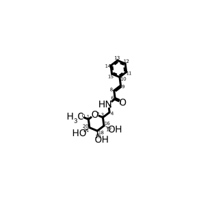 CC1OC(CNC(=O)/C=C/c2ccccc2)[C@H](O)[C@@H](O)[C@@H]1O